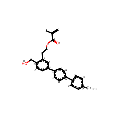 C=C(C)C(=O)OCCc1cc(-c2ccc(-c3ccc(CCCCC)cc3)cc2)ccc1CO